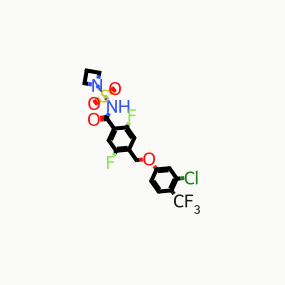 O=C(NS(=O)(=O)N1CCC1)c1cc(F)c(COc2ccc(C(F)(F)F)c(Cl)c2)cc1F